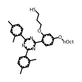 CCCCCCCCOc1ccc(-c2nc(-c3ccc(C)cc3C)nc(-c3ccc(C)cc3C)n2)c(OCCCS)c1